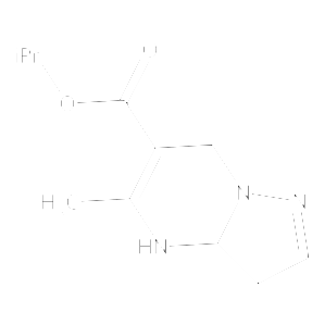 CC1=C(C(=O)OC(C)C)Cn2nccc2N1